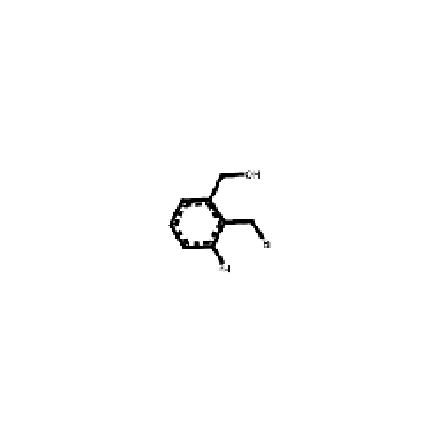 [2H]c1cccc(CO)c1CBr